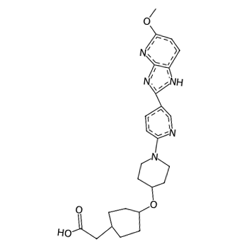 COc1ccc2[nH]c(-c3ccc(N4CCC(OC5CCC(CC(=O)O)CC5)CC4)nc3)nc2n1